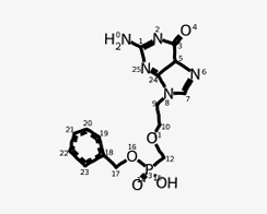 NC1=NC(=O)C2N=CN(CCOC[P@@](=O)(O)OCc3ccccc3)C2=N1